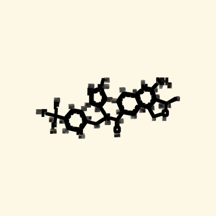 C[C@H]1OCc2c1c(N)nc1ccc(C(=O)N(Cc3ccc(C(F)(F)F)cn3)c3cnn(C)c3)cc21